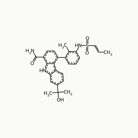 CC=CS(=O)(=O)Nc1cccc(-c2ccc(C(N)=O)c3[nH]c4cc(C(C)(C)O)ccc4c23)c1C